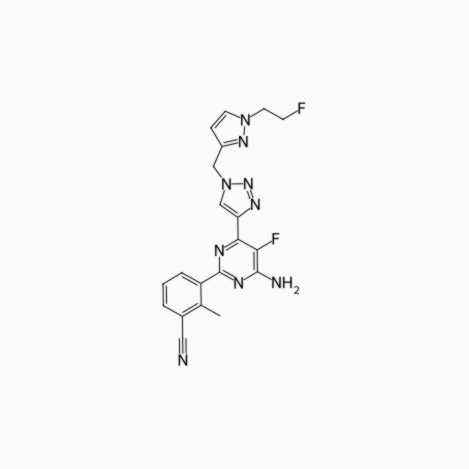 Cc1c(C#N)cccc1-c1nc(N)c(F)c(-c2cn(Cc3ccn(CCF)n3)nn2)n1